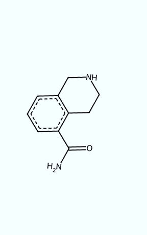 NC(=O)c1cccc2c1CCNC2